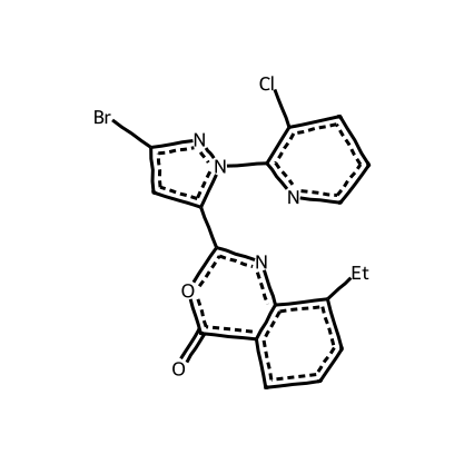 CCc1cccc2c(=O)oc(-c3cc(Br)nn3-c3ncccc3Cl)nc12